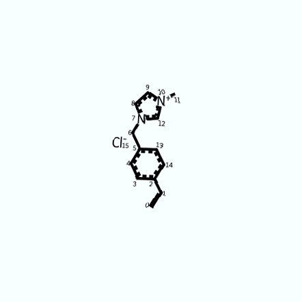 C=Cc1ccc(Cn2cc[n+](C)c2)cc1.[Cl-]